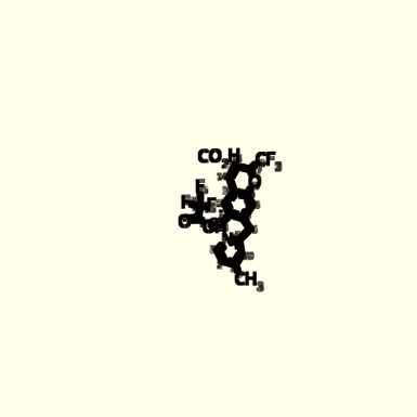 Cc1ccnc(Cc2cc3c(cc2Cl)C=C(C(=O)O)C(C(F)(F)F)O3)c1.O=C(O)C(F)(F)F